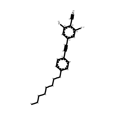 CCCCCCCCc1ccc(C#Cc2cc(F)c(C#N)c(F)c2)cc1